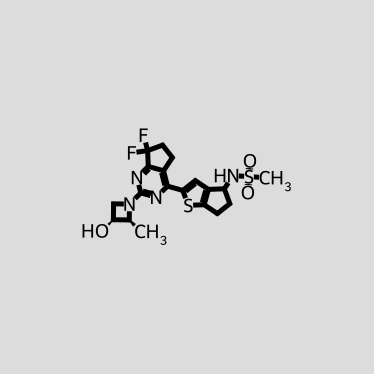 C[C@H]1[C@H](O)CN1c1nc(-c2cc3c(s2)CCC3NS(C)(=O)=O)c2c(n1)C(F)(F)CC2